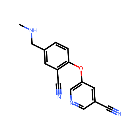 CNCc1ccc(Oc2cncc(C#N)c2)c(C#N)c1